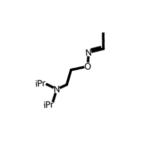 C/C=N/OCCN(C(C)C)C(C)C